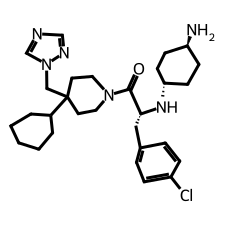 N[C@H]1CC[C@H](N[C@H](Cc2ccc(Cl)cc2)C(=O)N2CCC(Cn3cncn3)(C3CCCCC3)CC2)CC1